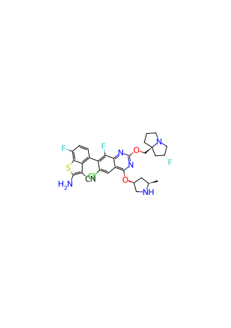 C[C@@H]1C[C@H](Oc2nc(OC[C@@]34CCCN3C[C@H](F)C4)nc3c(F)c(-c4ccc(F)c5sc(N)c(C#N)c45)c(Cl)cc23)CN1